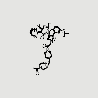 CC(=O)N1CCN(CC2CCN(C(=O)Cn3cc(NC(=O)c4cnn5cccnc45)c(-c4cc(SC(C)C)ccc4OC(F)F)n3)CC2)CC1